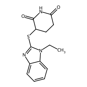 CCn1c(SC2CCC(=O)NC2=O)nc2ccccc21